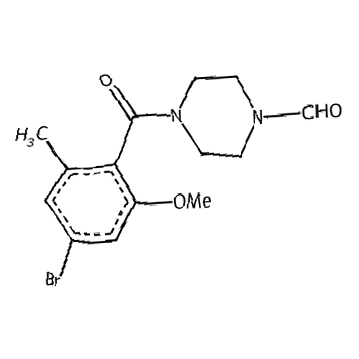 COc1cc(Br)cc(C)c1C(=O)N1CCN(C=O)CC1